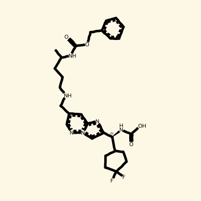 CC(CCCNCc1cnn2cc([C@@H](NC(=O)O)C3CCC(F)(F)CC3)nc2c1)NC(=O)OCc1ccccc1